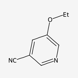 CCOc1cncc(C#N)c1